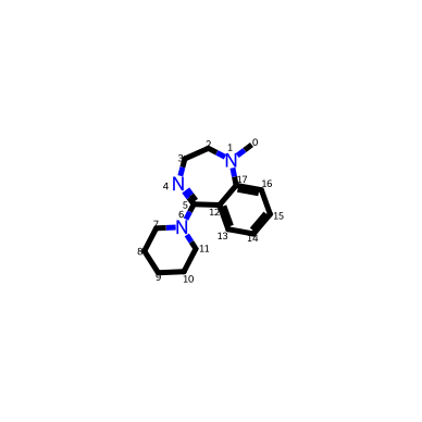 CN1CCN=C(N2CCCCC2)c2ccccc21